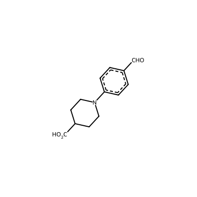 O=Cc1ccc(N2CCC(C(=O)O)CC2)cc1